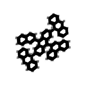 C1=CC2=C(CC1)Oc1ccccc1N2c1ccc2c(-c3ccc4ccccc4c3)c3cc(N4c5ccccc5Cc5ccccc54)ccc3c(-c3cc4ccccc4c4ccccc34)c2c1